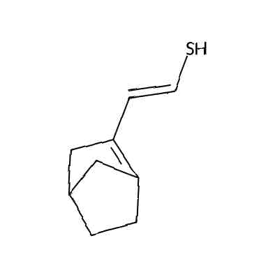 SC=CC1=C2CCC(C1)C2